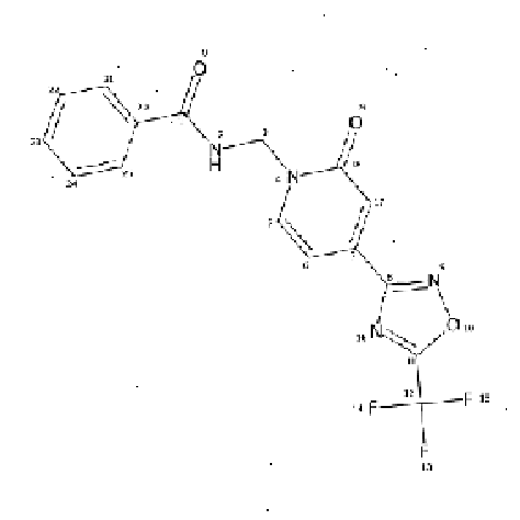 O=C(NCn1ccc(-c2noc(C(F)(F)F)n2)cc1=O)c1ccccc1